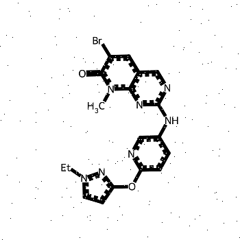 CCn1ccc(Oc2ccc(Nc3ncc4cc(Br)c(=O)n(C)c4n3)cn2)n1